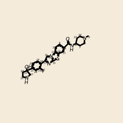 CN1CCC(NC(=O)c2ccc3c(c2)sc2nc(-c4ccc(C5(O)CCNC5)cc4F)cn23)CC1